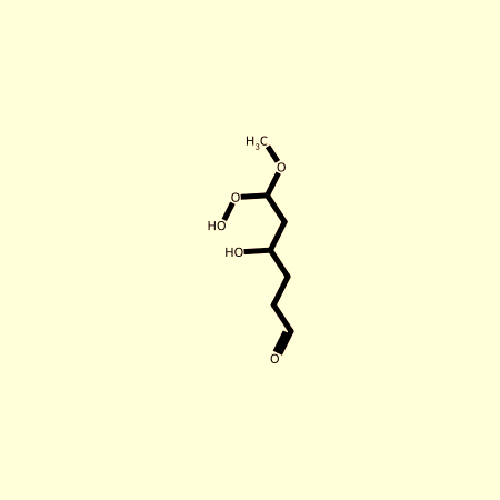 COC(CC(O)CCC=O)OO